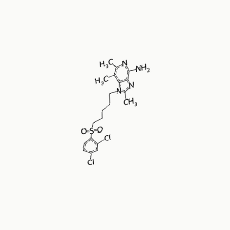 Cc1nc(N)c2nc(C)n(CCCCCS(=O)(=O)c3ccc(Cl)cc3Cl)c2c1C